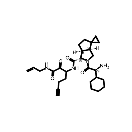 C#CCCC(NC(=O)[C@@H]1[C@H]2CCC3(CC3)[C@H]2CN1C(=O)[C@@H](N)C1CCCCC1)C(=O)C(=O)NCC=C